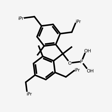 Cc1cc(CC(C)C)cc(CC(C)C)c1C(C)(OP(O)O)c1c(C)cc(CC(C)C)cc1CC(C)C